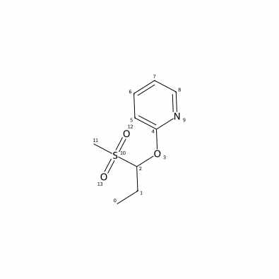 CCC(Oc1ccccn1)S(C)(=O)=O